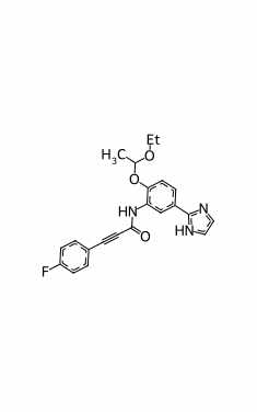 CCOC(C)Oc1ccc(-c2ncc[nH]2)cc1NC(=O)C#Cc1ccc(F)cc1